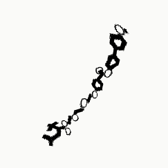 COc1ccc(-c2ccc(OC(=O)c3ccc(OCCOCCOCCOC(=O)C(CC(C)C)C(C)(C)C)cc3)cc2)cc1